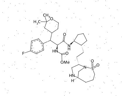 COC(=O)N[C@H](C(=O)N[C@H]1CCC[C@@H]1CC[C@H]1CN[C@@H]2CCCS(=O)(=O)N1C2)C(c1ccc(F)cc1)C1CCOC(C)(C)C1